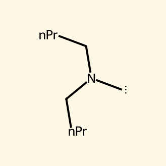 [C]N(CCCC)CCCC